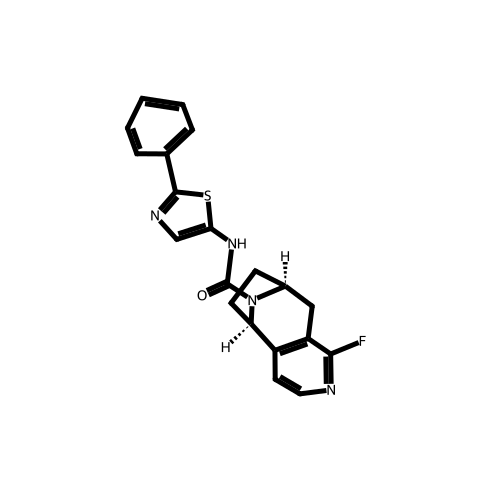 O=C(Nc1cnc(-c2ccccc2)s1)N1[C@H]2CC[C@@H]1c1ccnc(F)c1C2